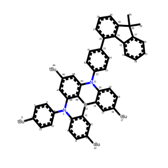 CC(C)(C)c1ccc(N2c3ccc(C(C)(C)C)cc3B3c4cc(C(C)(C)C)ccc4N(c4ccc(-c5cccc6c5-c5ccccc5C6(C)C)cc4)c4cc(C(C)(C)C)cc2c43)cc1